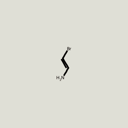 NC=CBr